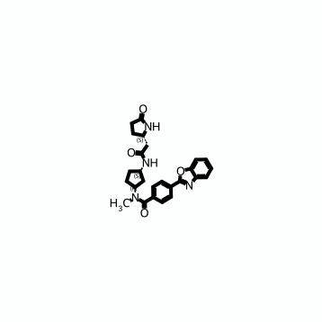 CN(C(=O)c1ccc(-c2nc3ccccc3o2)cc1)[C@@H]1CC[C@H](NC(=O)C[C@@H]2CCC(=O)N2)C1